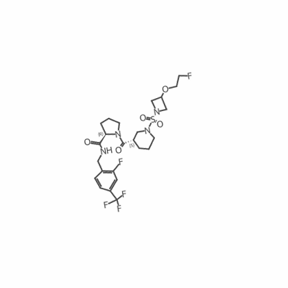 O=C(NCc1ccc(C(F)(F)F)cc1F)[C@H]1CCCN1C(=O)[C@H]1CCCN(S(=O)(=O)N2CC(OCCF)C2)C1